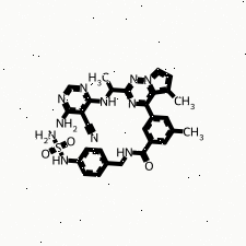 Cc1cc(C(=O)NCc2ccc(NS(N)(=O)=O)cc2)cc(-c2nc(C(C)Nc3ncnc(N)c3C#N)nn3ccc(C)c23)c1